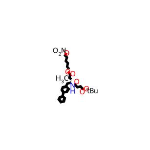 C[C@H](C[C@@H](Cc1ccc(-c2ccccc2)cc1)NC(=O)CCC(=O)OC(C)(C)C)C(=O)OCCCCCCO[N+](=O)[O-]